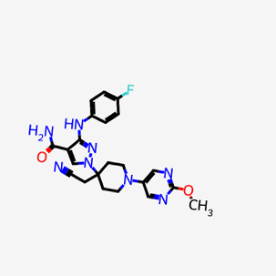 COc1ncc(N2CCC(CC#N)(n3cc(C(N)=O)c(Nc4ccc(F)cc4)n3)CC2)cn1